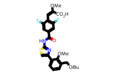 COC(=Cc1c(F)cc(C(=O)Nc2nc(-c3cccc(COCC(C)C)c3OC)cs2)cc1F)C(=O)O